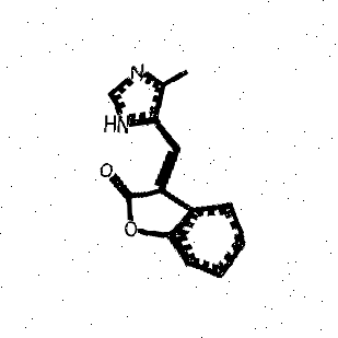 Cc1nc[nH]c1/C=C1\C(=O)Oc2ccccc21